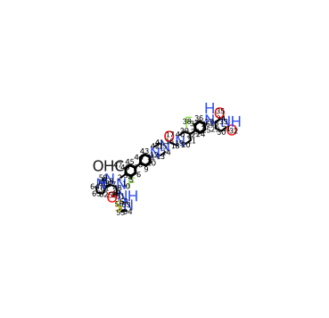 CN(Cc1c(F)cc(-c2ccc(N3CCN(C(=O)CN4CCC(c5ccc(NC6CCC(=O)NC6=O)cc5F)CC4)CC3)cc2)cc1C=O)C(C(=O)Nc1nccs1)c1ncn2c1CCC2